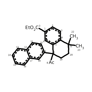 CCOC(=O)c1ccc2c(c1)C(C(C)=O)(c1ccc3ccccc3c1)CCC2(C)C